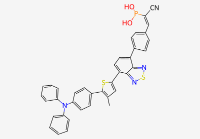 Cc1cc(-c2ccc(-c3ccc(/C=C(/C#N)P(O)O)cc3)c3nsnc23)sc1-c1ccc(N(c2ccccc2)c2ccccc2)cc1